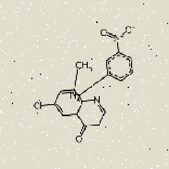 CN1C2=CC(Cl)=CC3C(=O)CC=NC23CC1c1cccc([N+](=O)[O-])c1